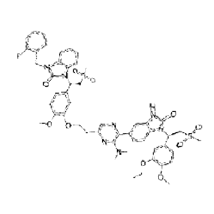 CCOc1cc([C@H](CS(C)(=O)=O)n2c(=O)[nH]c3cc(-c4ncc(CCOc5cc([C@H](CS(C)(=O)=O)n6c(=O)n(Cc7ccccc7F)c7ccccc76)ccc5OC)nc4N(C)C)ccc32)ccc1OC